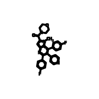 Cn1c(C(=O)N2CCOCC2)cc2nc(-c3ccc(F)cc3)c(-c3ccncc3)c(-c3ccc(F)cc3)c21